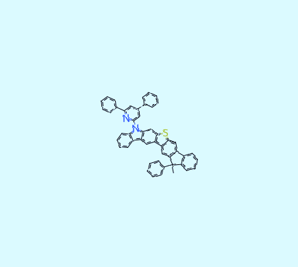 CC1(c2ccccc2)c2ccccc2-c2cc3sc4cc5c(cc4c3cc21)c1ccccc1n5-c1cc(-c2ccccc2)cc(-c2ccccc2)n1